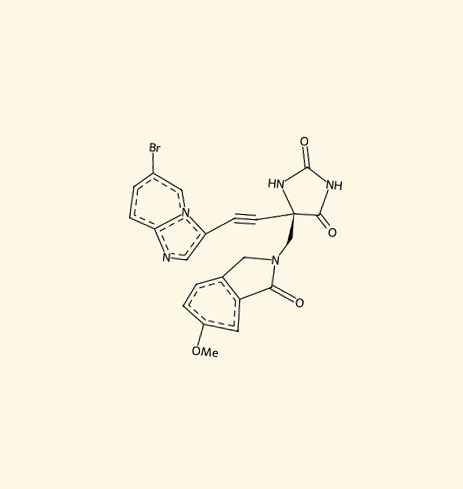 COc1ccc2c(c1)C(=O)N(C[C@@]1(C#Cc3cnc4ccc(Br)cn34)NC(=O)NC1=O)C2